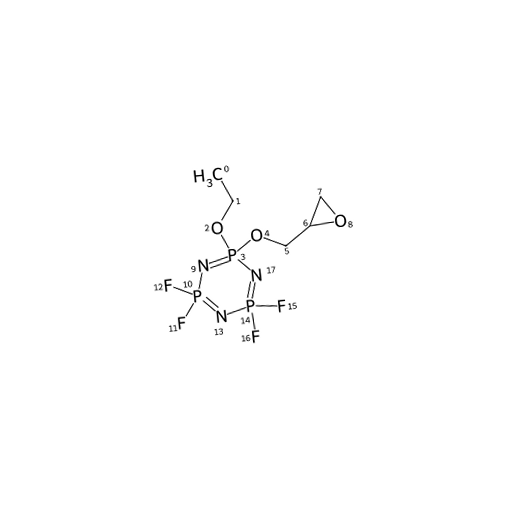 CCOP1(OCC2CO2)=NP(F)(F)=NP(F)(F)=N1